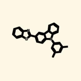 Cc1cc(C)cc(-n2c3ccccc3c3cc(-c4nc5ccccc5o4)ccc32)c1